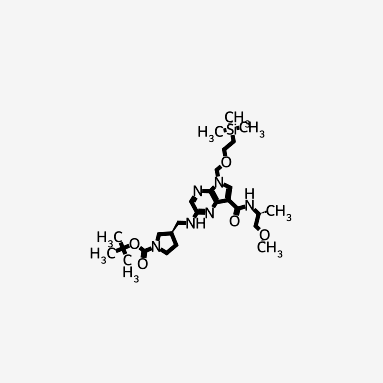 COC[C@@H](C)NC(=O)c1cn(COCC[Si](C)(C)C)c2ncc(NC[C@H]3CCN(C(=O)OC(C)(C)C)C3)nc12